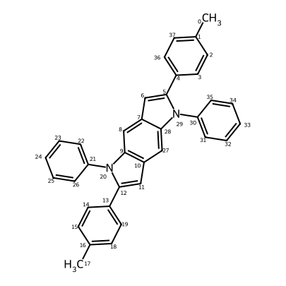 Cc1ccc(-c2cc3cc4c(cc(-c5ccc(C)cc5)n4-c4ccccc4)cc3n2-c2ccccc2)cc1